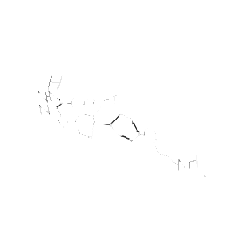 CCOC(=O)c1[nH]nnc1O[C@H]1CC[C@H](c2ccc(OCCCN)cc2)CC1